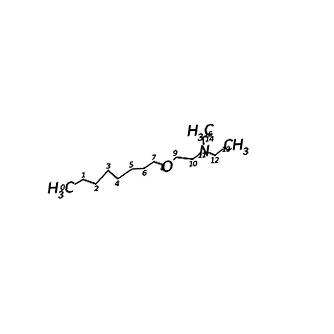 CCCCCCCCOCCN(CC)CC